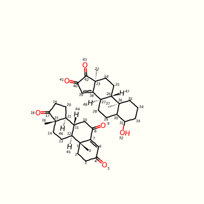 C[C@]12CCC(=O)C=C1C(=O)C[C@@H]1[C@@H]2CC[C@]2(C)C(=O)CC[C@@H]12.C[C@]12CC[C@H]3[C@@H](CCC4C(O)CCC[C@@]43C)C1=CC(=O)C2=O